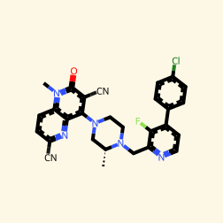 C[C@@H]1CN(c2c(C#N)c(=O)n(C)c3ccc(C#N)nc23)CCN1Cc1nccc(-c2ccc(Cl)cc2)c1F